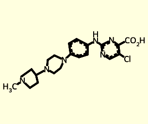 CN1CCC(N2CCN(c3ccc(Nc4ncc(Cl)c(C(=O)O)n4)cc3)CC2)CC1